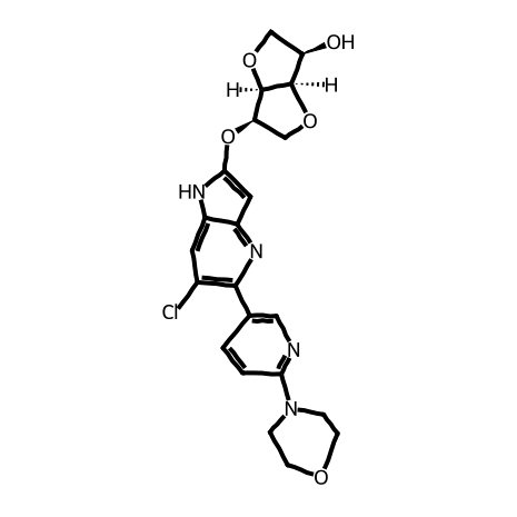 O[C@@H]1CO[C@H]2[C@@H]1OC[C@H]2Oc1cc2nc(-c3ccc(N4CCOCC4)nc3)c(Cl)cc2[nH]1